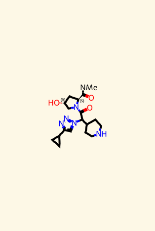 CNC(=O)[C@@H]1C[C@@H](O)CN1C(=O)C(C1CCNCC1)n1cc(C2CC2)nn1